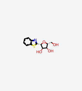 OC[C@H]1O[C@@H](c2nc3ccccc3s2)[C@H](O)[C@@H]1O